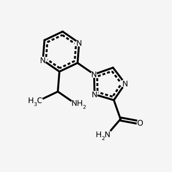 CC(N)c1nccnc1-n1cnc(C(N)=O)n1